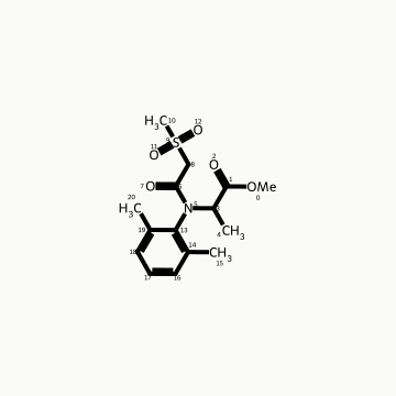 COC(=O)C(C)N(C(=O)CS(C)(=O)=O)c1c(C)cccc1C